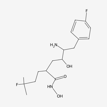 CC(C)(F)CCC(CC(O)C(N)Cc1ccc(F)cc1)C(=O)NO